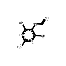 Cc1nc(O)c(NC=N)c(O)n1